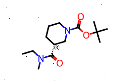 CCN(C)C(=O)[C@@H]1CCCN(C(=O)OC(C)(C)C)C1